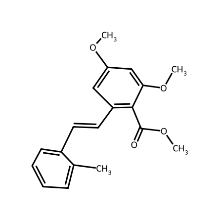 COC(=O)c1c(C=Cc2ccccc2C)cc(OC)cc1OC